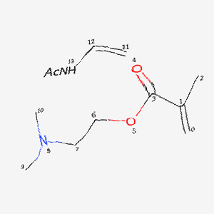 C=C(C)C(=O)OCCN(C)C.C=CNC(C)=O